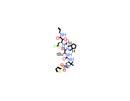 C=CCNC(=O)C(=O)[C@H](CC(F)F)NC(=O)[C@@H]1[C@H]2CCC[C@H]2CN1C(=O)[C@@H](NC(=O)N[C@H](CN(C)S(=O)(=O)c1cccs1)C(C)(C)CCC)C(C)(C)C